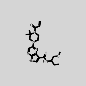 C=CC(=O)N1CCN(c2cnc3[nH]cc(C(=O)NC(CC)COC)c3n2)CC1(C)C